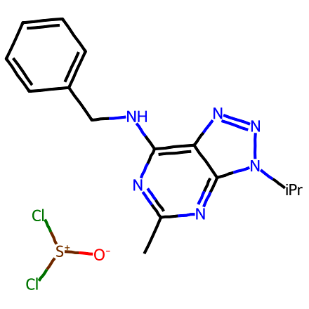 Cc1nc(NCc2ccccc2)c2nnn(C(C)C)c2n1.[O-][S+](Cl)Cl